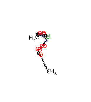 CCCCCCCCCCCCCCOc1cccc(C(=O)OCCOC(=O)CCC/C=C\C[C@@H]2C(/C=C/C[C@H](O)C3(CC)CCC3)[C@H](O)C[C@H]2Cl)c1